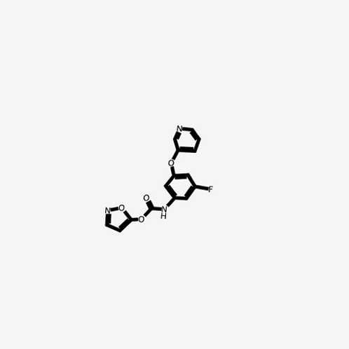 O=C(Nc1cc(F)cc(Oc2cccnc2)c1)Oc1ccno1